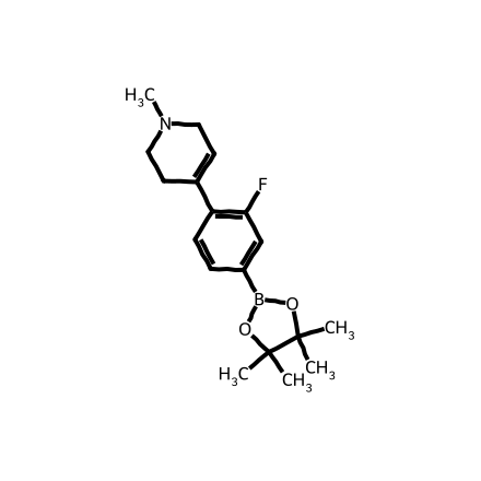 CN1CC=C(c2ccc(B3OC(C)(C)C(C)(C)O3)cc2F)CC1